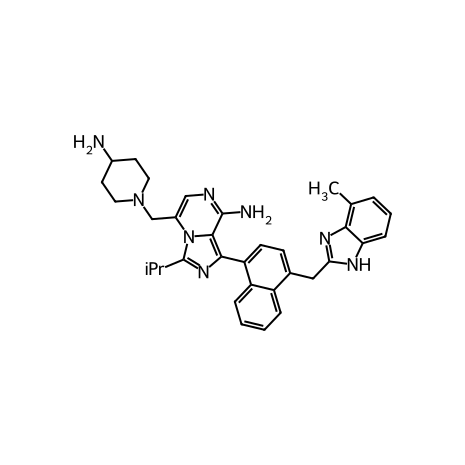 Cc1cccc2[nH]c(Cc3ccc(-c4nc(C(C)C)n5c(CN6CCC(N)CC6)cnc(N)c45)c4ccccc34)nc12